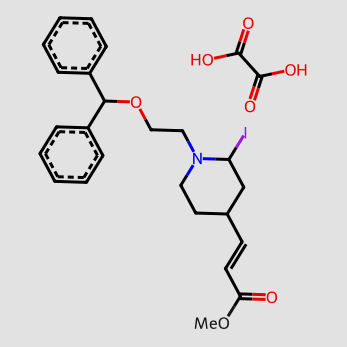 COC(=O)C=CC1CCN(CCOC(c2ccccc2)c2ccccc2)C(I)C1.O=C(O)C(=O)O